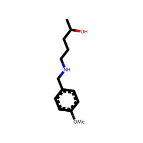 COc1ccc(CNCCCC(C)O)cc1